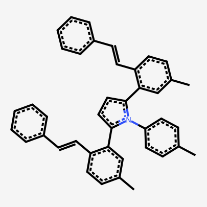 Cc1ccc(-n2c(-c3cc(C)ccc3/C=C/c3ccccc3)ccc2-c2cc(C)ccc2/C=C/c2ccccc2)cc1